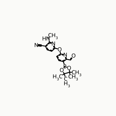 CNc1nc(Oc2ccc(B3OC(C)(C)C(C)(C)O3)c(C=O)n2)ccc1C#N